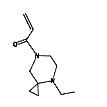 C=CC(=O)N1CCN(CC)C2(CC2)C1